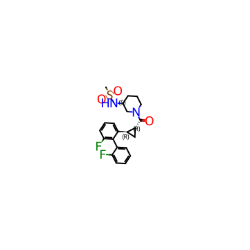 CS(=O)(=O)N[C@H]1CCCN(C(=O)[C@@H]2C[C@H]2c2cccc(F)c2-c2ccccc2F)C1